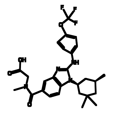 C[C@@H]1C[C@H](n2c(Nc3ccc(OC(F)(F)F)cc3)nc3cc(C(=O)N(C)CC(=O)O)ccc32)CC(C)(C)C1